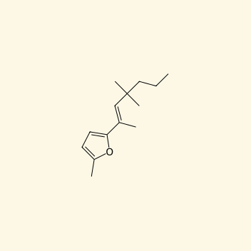 CCCC(C)(C)/C=C(\C)c1ccc(C)o1